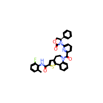 Cc1cccc(F)c1NC(=O)c1cc2c(s1)-c1ccccc1N(C(=O)c1cccc(N3C(=O)OC[C@H]3c3ccccc3)n1)CC2